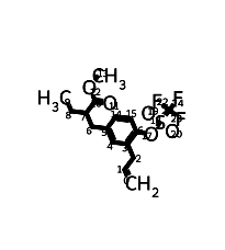 C=CCc1cc(CC(CC)C(=O)OC)ccc1OS(=O)(=O)C(F)(F)F